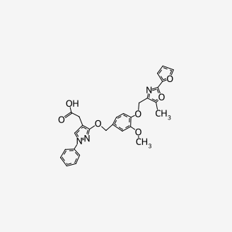 COc1cc(COc2nn(-c3ccccc3)cc2CC(=O)O)ccc1OCc1nc(-c2ccco2)oc1C